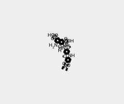 CCN(CC)S(=O)(=O)c1ccc(Nc2cc(OC)c(NNc3c(S(=O)(=O)O)cc4cc(S(=O)(=O)O)cc(N)c4c3O)cc2OC)cc1